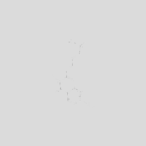 [C]#Cc1ccc(C(=O)N(C)C(=O)OCNCC(C)C)cc1